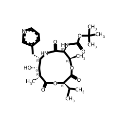 CC(C)[C@H]1OC(=O)[C@H](C)[C@H](O)[C@H](Cc2cccnc2)NC(=O)[C@@H](NC(=O)OC(C)(C)C)[C@@H](C)OC1=O